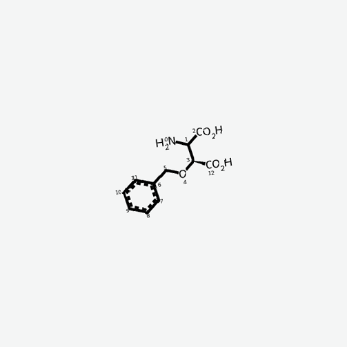 NC(C(=O)O)[C@H](OCc1ccccc1)C(=O)O